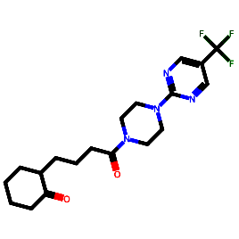 O=C1CCCCC1CCCC(=O)N1CCN(c2ncc(C(F)(F)F)cn2)CC1